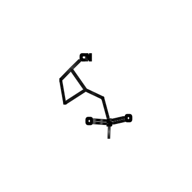 CS(=O)(=O)CC1CCC1C#N